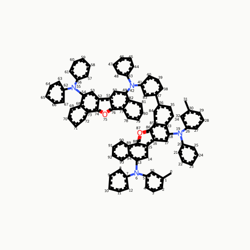 Cc1cccc(N(c2ccccc2)c2cc3c4cc(N(c5ccccc5)c5cccc(C)c5)c5ccc(-c6cccc(N(c7ccccc7)c7cc8c9cc(N(c%10ccccc%10)c%10ccccc%10)c%10ccccc%10c9oc8c8ccccc78)c6)cc5c4oc3c3ccccc23)c1